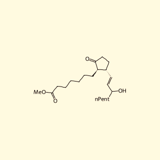 CCCCCC(O)C=C[C@H]1CCC(=O)[C@@H]1CCCCCCC(=O)OC